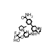 CC1CCCN1c1cccc(Nc2cc(-c3ccc(C(N)=O)cc3)cn3ncnc23)n1.O=C(O)C(F)(F)F